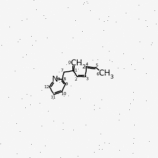 C=C(/C=C\C=C/C)Cc1ccccn1